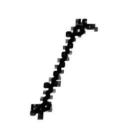 CC(C)N1CCN(C(=O)CCOCCOCCOCCOCCNC(=O)CCCCC2SCC3NC(=O)NC32)CC1